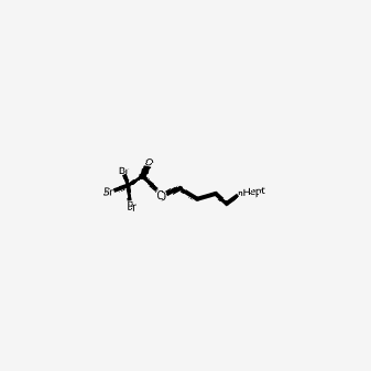 CCCCCCCCCCCOC(=O)C(Br)(Br)Br